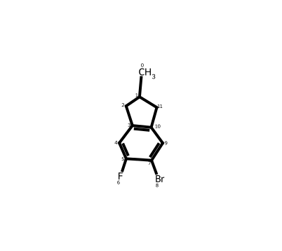 CC1Cc2cc(F)c(Br)cc2C1